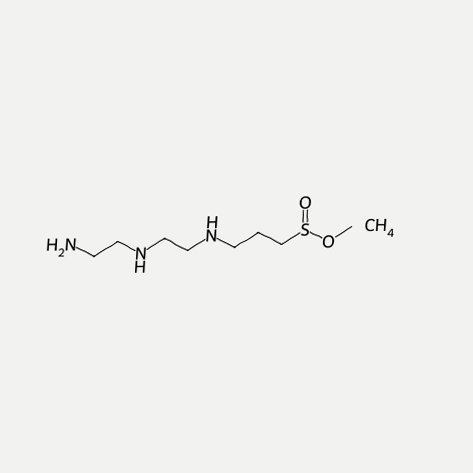 C.COS(=O)CCCNCCNCCN